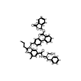 CCCc1nc2c(C)cc(C(=O)N[C@@H](CS)Cc3ccccc3)cc2n1Cc1ccc(-c2ccccc2C(=O)OC2OC(=O)c3ccccc32)cc1